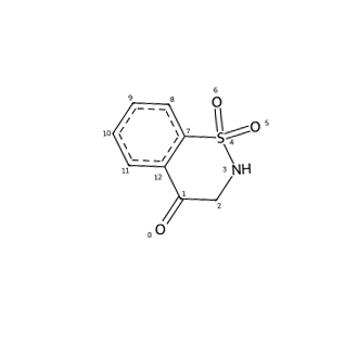 O=C1CNS(=O)(=O)c2ccccc21